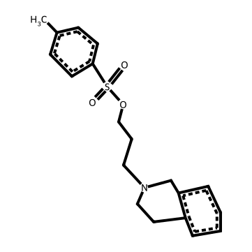 Cc1ccc(S(=O)(=O)OCCCN2CCc3ccccc3C2)cc1